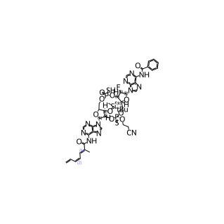 C=C/C=C\C=C(/C)C(=O)Nc1ncnc2c1ncn2[C@@H]1OC2COP(=O)(S)O[C@H]3[C@@H](F)[C@H](n4cnc5c(NC(=O)c6ccccc6)ncnc54)O[C@@H]3COP(=S)(OCCC#N)O[C@@H]1[C@@H]2O[Si](C)(C)C(C)(C)C